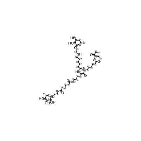 C[C@@H]1O[C@@H](OCCNC(=O)CCCCC(=O)NCCCC[C@H](NC(=O)CCCCC(=O)NCCO[C@@H]2O[C@@H](C)C[C@@H](O)[C@@H]2O)C(=O)NCCCCCC(=O)ON2C(=O)CCC2=O)[C@@H](O)[C@H](O)[C@@H]1O